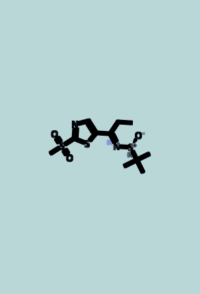 CC/C(=N\[S@+]([O-])C(C)(C)C)c1cnc(S(C)(=O)=O)s1